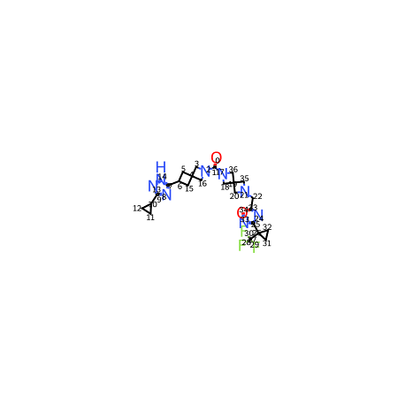 O=C(N1CC2(CC(c3nc(C4CC4)n[nH]3)C2)C1)N1CC2(CN(Cc3nc(C4(C(F)(F)F)CC4)no3)C2)C1